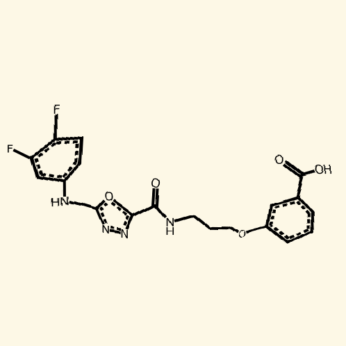 O=C(O)c1cccc(OCCCNC(=O)c2nnc(Nc3ccc(F)c(F)c3)o2)c1